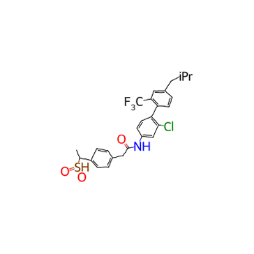 CC(C)Cc1ccc(-c2ccc(NC(=O)Cc3ccc(C(C)[SH](=O)=O)cc3)cc2Cl)c(C(F)(F)F)c1